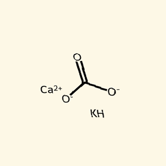 O=C([O-])[O-].[Ca+2].[KH]